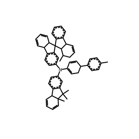 Cc1ccc(C2C=CC(N(c3ccc4c(c3)C3(c5ccccc5C5C=CCC(C)C53)C3C=CC=CC43)c3ccc4c(c3)C(C)(C)C3(C)C=CC=CC43)=CC2)cc1